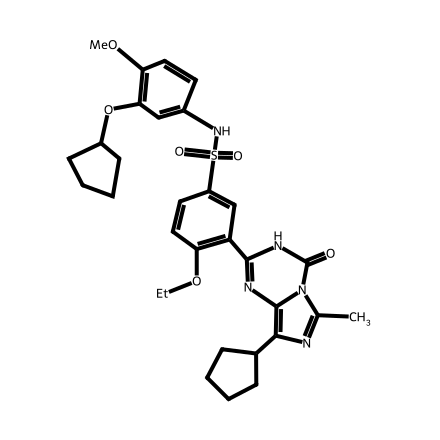 CCOc1ccc(S(=O)(=O)Nc2ccc(OC)c(OC3CCCC3)c2)cc1-c1nc2c(C3CCCC3)nc(C)n2c(=O)[nH]1